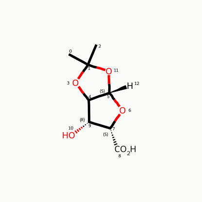 CC1(C)OC2[C@@H](O[C@H](C(=O)O)[C@@H]2O)O1